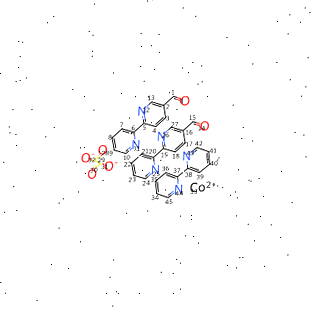 O=Cc1ccc(-c2ccccn2)nc1.O=Cc1ccc(-c2ccccn2)nc1.O=S(=O)([O-])[O-].[Co+2].c1ccc(-c2ccccn2)nc1